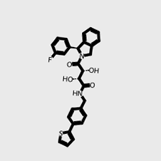 O=C(NCc1ccc(-c2cccs2)cc1)[C@H](O)[C@@H](O)C(=O)N1Cc2ccccc2[C@@H]1c1cccc(F)c1